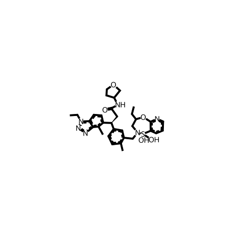 CCC1CN(Cc2cc([C@H](CC(=O)NC3CCOC3)c3ccc4c(nnn4CC)c3C)ccc2C)S(O)(O)c2cccnc2O1